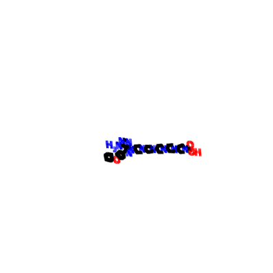 Nc1ncnc2c1c(-c1ccc(Oc3ccccc3)cc1)nn2C1CCN(C2CCN(C3CCN(C4CCN(C5CCN(C(=O)O)CC5)CC4)CC3)CC2)CC1